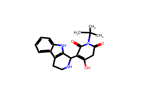 CC(C)(C)N1C(=O)CC(O)=C(C2NCCc3c2[nH]c2ccccc32)C1=O